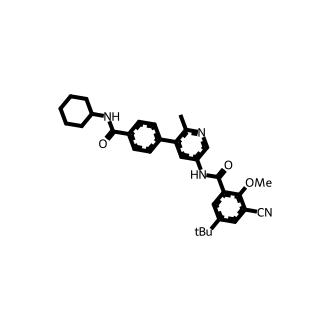 COc1c(C#N)cc(C(C)(C)C)cc1C(=O)Nc1cnc(C)c(-c2ccc(C(=O)NC3CCCCC3)cc2)c1